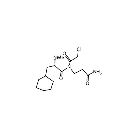 CN[C@@H](CC1CCCCC1)C(=O)N(CCC(N)=O)C(=O)CCl